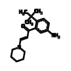 CC(C)(C)c1ccc(N)cc1C(=O)C=CN1CCCCC1